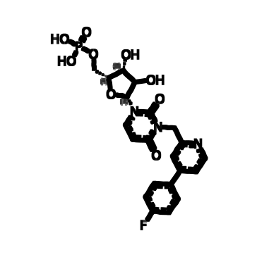 O=c1ccn([C@@H]2O[C@H](COP(=O)(O)O)[C@H](O)C2O)c(=O)n1Cc1cc(-c2ccc(F)cc2)ccn1